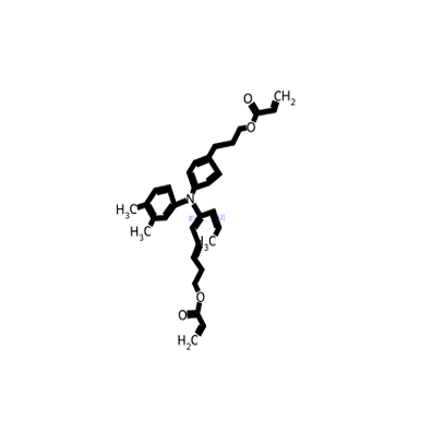 C=CC(=O)OCCC=C/C=C(\C=C/C)N(c1ccc(CCCOC(=O)C=C)cc1)c1ccc(C)c(C)c1